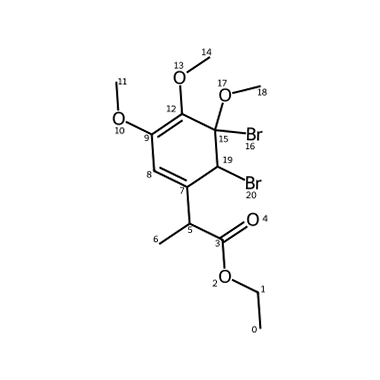 CCOC(=O)C(C)C1=CC(OC)=C(OC)C(Br)(OC)C1Br